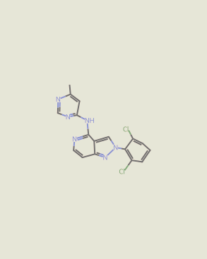 Cc1cc(Nc2nccc3nn(-c4c(Cl)cccc4Cl)cc23)ncn1